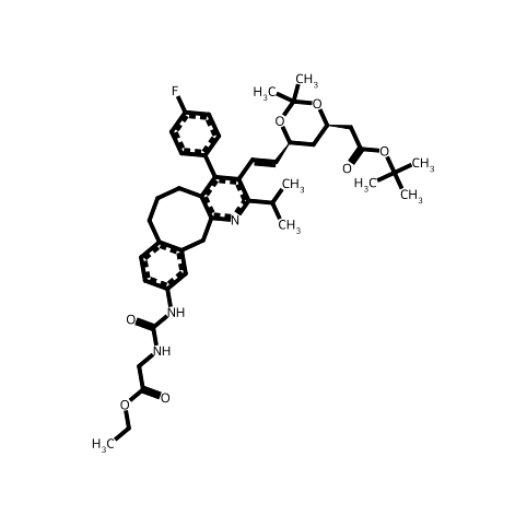 CCOC(=O)CNC(=O)Nc1ccc2c(c1)Cc1nc(C(C)C)c(/C=C/[C@@H]3C[C@H](CC(=O)OC(C)(C)C)OC(C)(C)O3)c(-c3ccc(F)cc3)c1CCC2